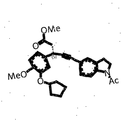 COC(=O)C[C@H](C#Cc1ccc2c(c1)CCN2C(C)=O)c1ccc(OC)c(OC2CCCC2)c1